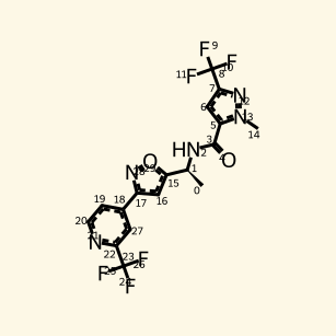 C[C@H](NC(=O)c1cc(C(F)(F)F)nn1C)c1cc(-c2ccnc(C(F)(F)F)c2)no1